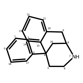 c1ccc(C23CCNC(Cc4ccccc42)C3)cc1